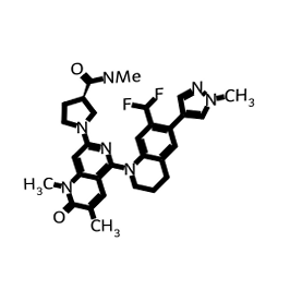 CNC(=O)[C@@H]1CCN(c2cc3c(cc(C)c(=O)n3C)c(N3CCCc4cc(-c5cnn(C)c5)c(C(F)F)cc43)n2)C1